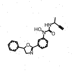 C#CC(C)NC(=O)N(O)c1cccc(C2=NCC(c3ccccc3)O2)c1